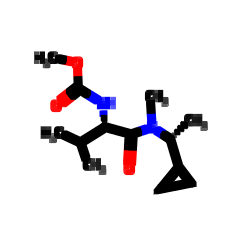 COC(=O)N[C@H](C(=O)N(C)[C@H](C)C1CC1)C(C)C